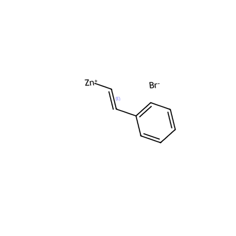 [Br-].[Zn+]/[CH]=C/c1ccccc1